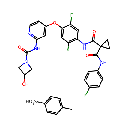 Cc1ccc(S(=O)(=O)O)cc1.O=C(Nc1cc(Oc2cc(F)c(NC(=O)C3(C(=O)Nc4ccc(F)cc4)CC3)cc2F)ccn1)N1CC(O)C1